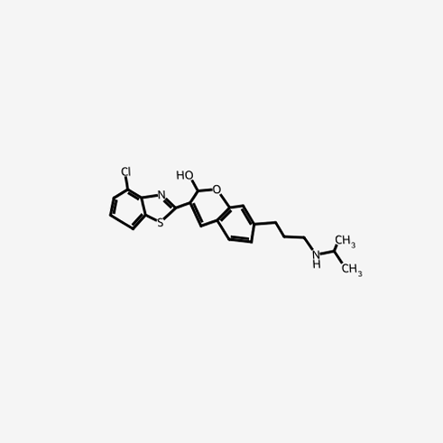 CC(C)NCCCc1ccc2c(c1)OC(O)C(c1nc3c(Cl)cccc3s1)=C2